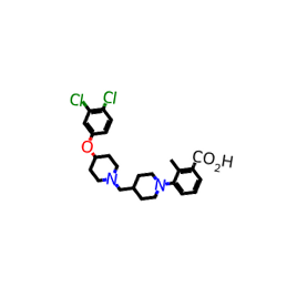 Cc1c(C(=O)O)cccc1N1CCC(CN2CCC(Oc3ccc(Cl)c(Cl)c3)CC2)CC1